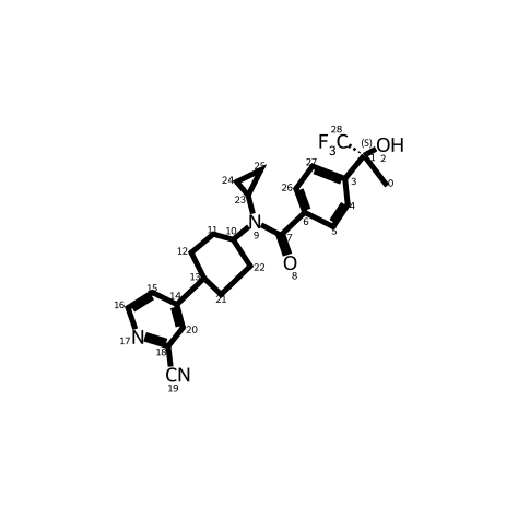 C[C@](O)(c1ccc(C(=O)N(C2CCC(c3ccnc(C#N)c3)CC2)C2CC2)cc1)C(F)(F)F